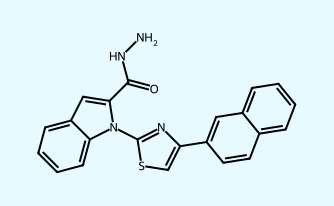 NNC(=O)c1cc2ccccc2n1-c1nc(-c2ccc3ccccc3c2)cs1